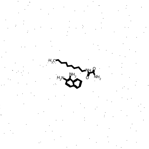 CCCCCCCCCNC(=O)C(N)=O.Nc1ccc2ccccc2c1N